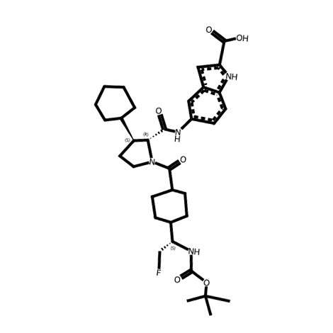 CC(C)(C)OC(=O)N[C@H](CF)C1CCC(C(=O)N2CC[C@@H](C3CCCCC3)[C@@H]2C(=O)Nc2ccc3[nH]c(C(=O)O)cc3c2)CC1